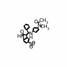 CC(=O)N(C)c1ccc(NC(=C2C(=O)Nc3ccc([N+](=O)[O-])cc32)c2ccccc2)cc1